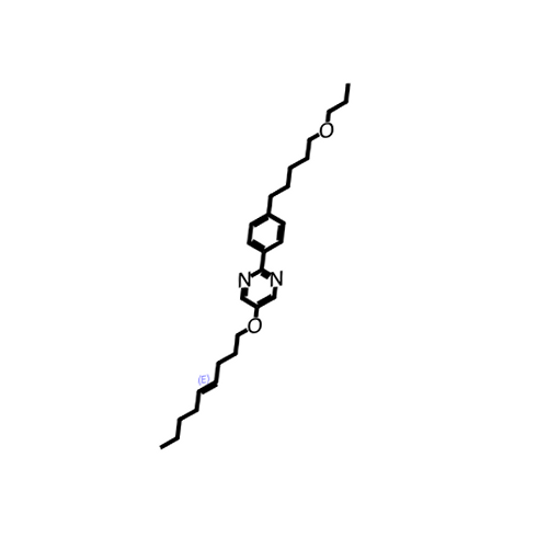 CCCC/C=C/CCCOc1cnc(-c2ccc(CCCCCOCCC)cc2)nc1